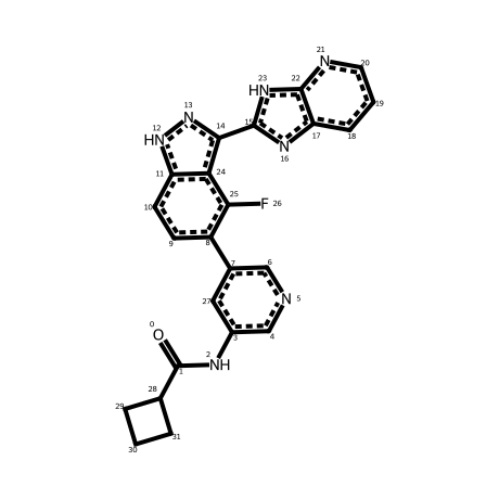 O=C(Nc1cncc(-c2ccc3[nH]nc(-c4nc5cccnc5[nH]4)c3c2F)c1)C1CCC1